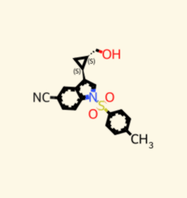 Cc1ccc(S(=O)(=O)n2cc([C@H]3C[C@@H]3CO)c3cc(C#N)ccc32)cc1